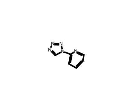 [c]1ccc(-n2cnnn2)nc1